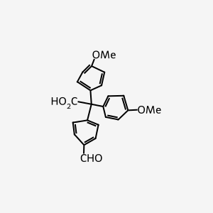 COc1ccc(C(C(=O)O)(c2ccc(C=O)cc2)c2ccc(OC)cc2)cc1